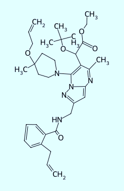 C=CCOC1(C)CCN(c2c(C(OC(C)(C)C)C(=O)OCC)c(C)nc3cc(CNC(=O)c4ccccc4CC=C)nn23)CC1